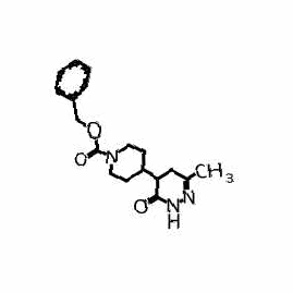 CC1=NNC(=O)C(C2CCN(C(=O)OCc3ccccc3)CC2)C1